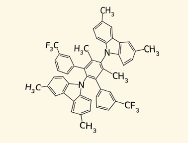 Cc1ccc2c(c1)c1cc(C)ccc1n2-c1c(C)c(-c2cccc(C(F)(F)F)c2)c(-n2c3ccc(C)cc3c3cc(C)ccc32)c(-c2cccc(C(F)(F)F)c2)c1C